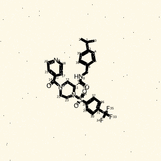 CC(C)c1ccc(CNC(=O)[C@H]2CN(C(=O)c3ccncc3)CCN2S(=O)(=O)c2ccc(C(F)(F)F)cc2)cc1